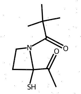 CC(=O)C1(S)CCN1C(=O)C(C)(C)C